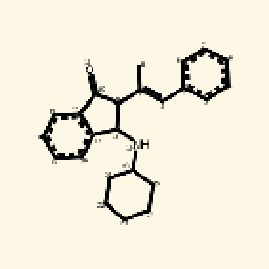 C/C(=C\c1ccccc1)C1C(=O)c2ccccc2C1NC1CCCCC1